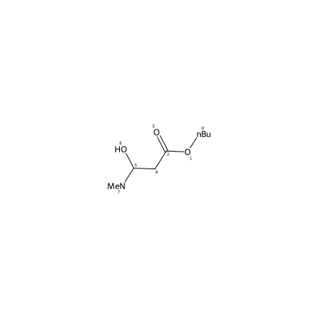 CCCCOC(=O)CC(O)NC